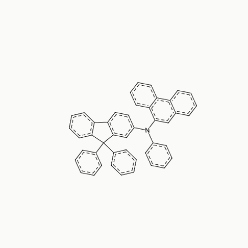 c1ccc(N(c2ccc3c(c2)C(c2ccccc2)(c2ccccc2)c2ccccc2-3)c2cc3ccccc3c3ccccc23)cc1